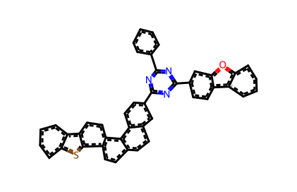 c1ccc(-c2nc(-c3ccc4c(ccc5ccc6c(ccc7c8ccccc8sc76)c54)c3)nc(-c3ccc4c(c3)oc3ccccc34)n2)cc1